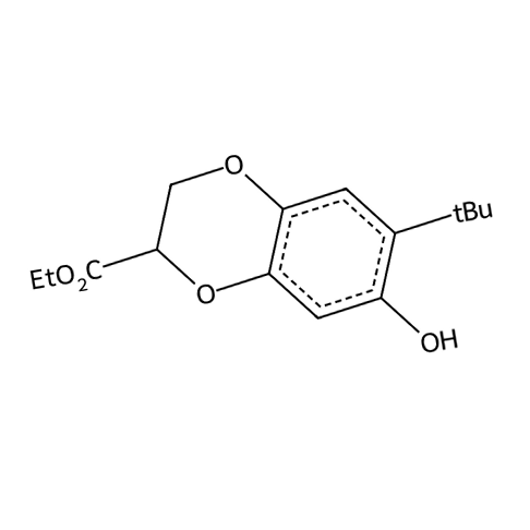 CCOC(=O)C1COc2cc(C(C)(C)C)c(O)cc2O1